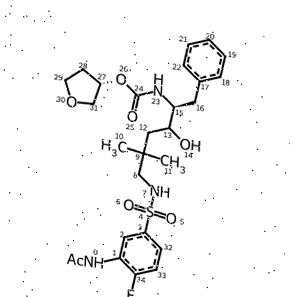 CC(=O)Nc1cc(S(=O)(=O)NCC(C)(C)CC(O)[C@H](Cc2ccccc2)NC(=O)O[C@H]2CCOC2)ccc1F